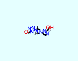 COCc1ncnc(N2[C@H](C)CN(c3ccnc([C@@H](C)O)n3)C[C@@H]2C)n1